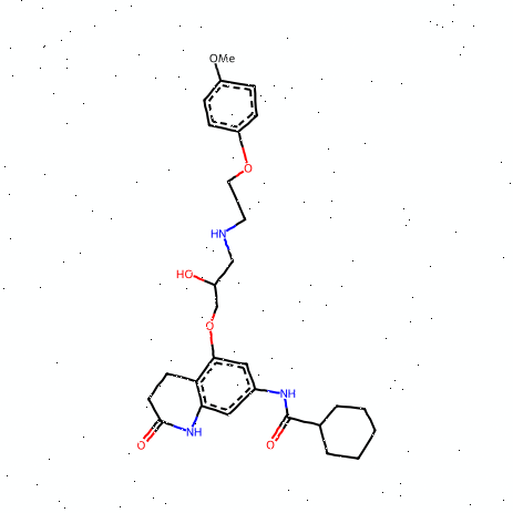 COc1ccc(OCCNCC(O)COc2cc(NC(=O)C3CCCCC3)cc3c2CCC(=O)N3)cc1